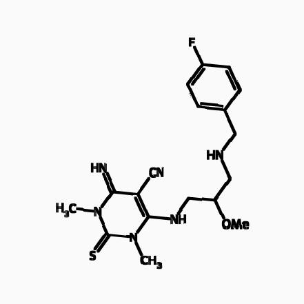 COC(CNCc1ccc(F)cc1)CNc1c(C#N)c(=N)n(C)c(=S)n1C